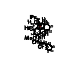 COC1(NC(=O)C(=Cc2ccccc2)C(F)(F)F)C=C(O)C2=C3C1O[C@H]1CCC[C@H]4[C@@H](C2)[N+](C)(CC(C)C)CC[C@]314